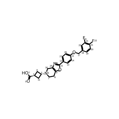 O=C(O)[C@H]1C[C@H](N2CCc3oc(-c4ccc(OCc5ccc(F)c(F)c5)cc4)nc3C2)C1